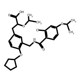 CC(C)Oc1ccc(C(=O)NCc2cc(CC(OC(C)C)C(=O)O)ccc2OC2CCCC2)c(Cl)c1